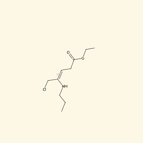 CCCN/C(=C\CC(=O)OCC)CCl